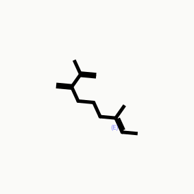 C=C(C)C(=C)CCC/C(C)=C/C